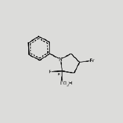 O=C(O)[C@]1(F)CC(Br)CN1c1ccccc1